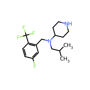 CC(C)CN(Cc1cc(F)ccc1C(F)(F)F)C1CCNCC1